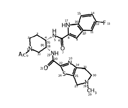 CC(=O)N1CC[C@H](NC(=O)c2cc3cc(F)ccc3[nH]2)[C@H](NC(=O)c2nc3c(s2)CN(C)CC3)C1